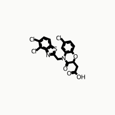 O=C(O)CC1Oc2ccc(Cl)cc2N(Cc2nc3c(Cl)c(Cl)ccc3s2)C1=O